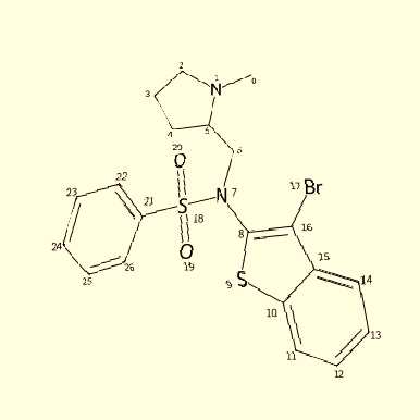 CN1CCCC1CN(c1sc2ccccc2c1Br)S(=O)(=O)c1ccccc1